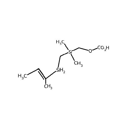 CC=C(C)[SiH2]C[Si](C)(C)COC(=O)O